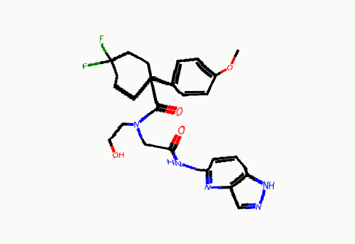 COc1ccc(C2(C(=O)N(CCO)CC(=O)Nc3ccc4[nH]ncc4n3)CCC(F)(F)CC2)cc1